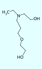 CCN(CCO)CCCOCCO